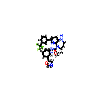 CC[C@H]1CCNc2ccc(-c3cccc(C(F)(F)F)c3)nc2N1C(=O)Nc1cccc(-c2cnco2)c1